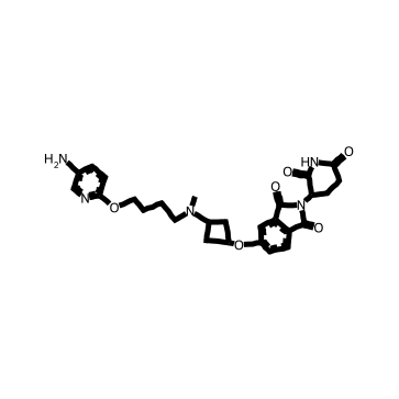 CN(CCCCOc1ccc(N)cn1)C1CC(Oc2ccc3c(c2)C(=O)N(C2CCC(=O)NC2=O)C3=O)C1